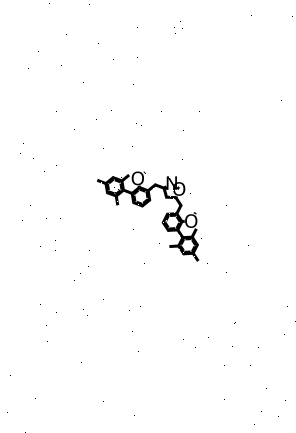 COc1c(CC2=NOC(Cc3cccc(-c4c(C)cc(C)cc4C)c3OC)C2)cccc1-c1c(C)cc(C)cc1C